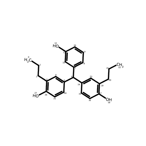 CCCc1cc(C(c2cccc(O)c2)c2ccc(O)c(CCC)c2)ccc1O